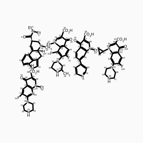 CCN(CC)C(=O)[C@@H]1C=C2c3cccc4[nH]cc(c34)C[C@H]2N(C)C1.CCn1cc(C(=O)O)c(=O)c2cc(F)c(N3CCNC(C)C3)c(F)c21.CCn1cc(C(=O)O)c(=O)c2cc(F)c(N3CCNCC3)nc21.CCn1cc(C(=O)O)c(=O)c2ccc(-c3ccncc3)cc21.O=C(O)c1cn(C2CC2)c2cc(N3CCNCC3)c(F)cc2c1=O